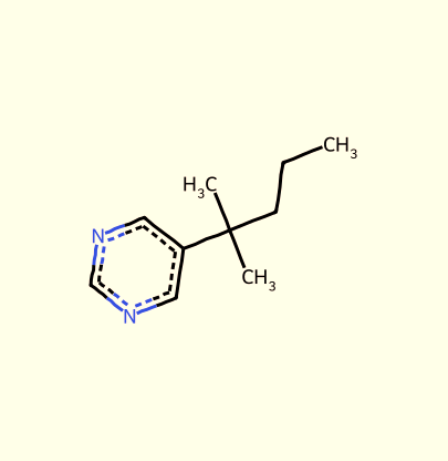 CCCC(C)(C)c1cncnc1